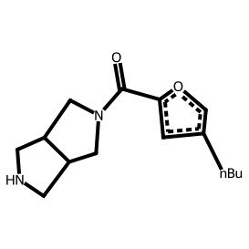 CCCCc1coc(C(=O)N2CC3CNCC3C2)c1